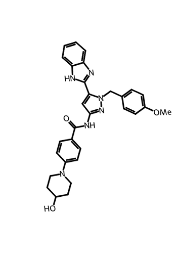 COc1ccc(Cn2nc(NC(=O)c3ccc(N4CCC(O)CC4)cc3)cc2-c2nc3ccccc3[nH]2)cc1